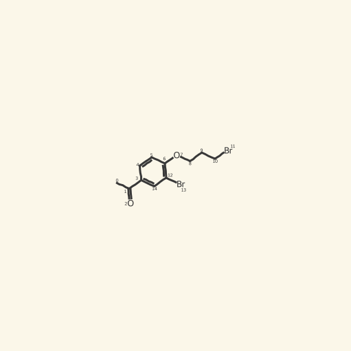 CC(=O)c1ccc(OCCCBr)c(Br)c1